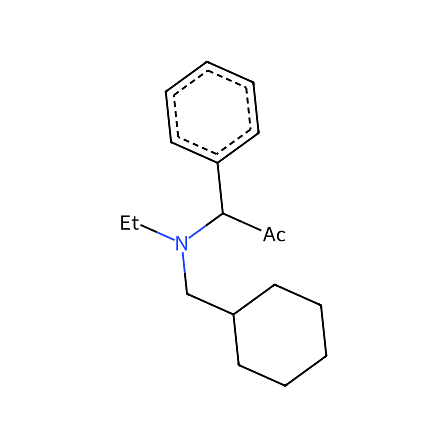 CCN(CC1CCCCC1)C(C(C)=O)c1ccccc1